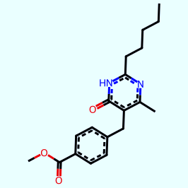 CCCCCc1nc(C)c(Cc2ccc(C(=O)OC)cc2)c(=O)[nH]1